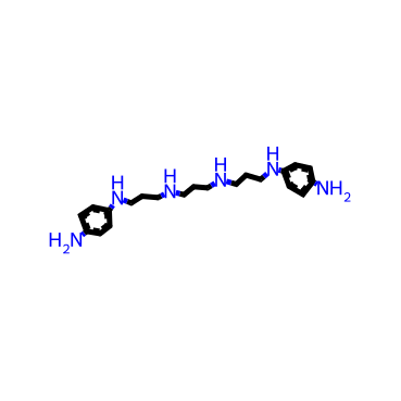 Nc1ccc(NCCCNCCCNCCCNc2ccc(N)cc2)cc1